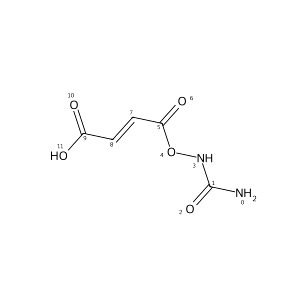 NC(=O)NOC(=O)C=CC(=O)O